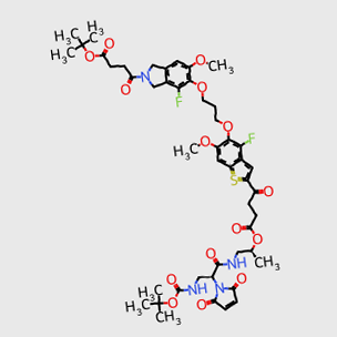 COc1cc2c(c(F)c1OCCCOc1c(OC)cc3sc(C(=O)CCC(=O)O[C@@H](C)CNC(=O)[C@H](CNC(=O)OC(C)(C)C)N4C(=O)C=CC4=O)cc3c1F)CN(C(=O)CCC(=O)OC(C)(C)C)C2